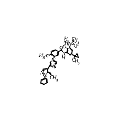 CCc1c(-c2cn(-c3cc(C(=O)Nc4cc(C5(C)CC5)cc(N[S+](C)[O-])c4OC)ccc3C)cn2)cnn1-c1ccccc1